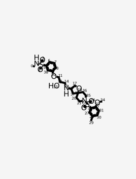 CNS(=O)(=O)c1cccc(OCC(O)CNC2COC3(CCN(S(=O)(=O)c4cc(C)ccc4OC)CC3)C2)c1